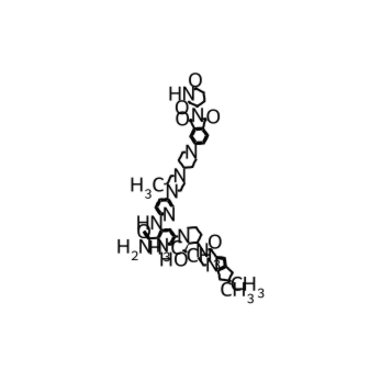 C[C@H]1CN(C2CCN(c3ccc4c(c3)C(=O)N(C3CCC(=O)NC3=O)C4=O)CC2)CCN1c1ccc(Nc2cc(N3CCC[C@@H](N4CCn5c(cc6c5CC(C)(C)C6)C4=O)[C@H]3C(C)(C)O)cnc2C(N)=O)nc1